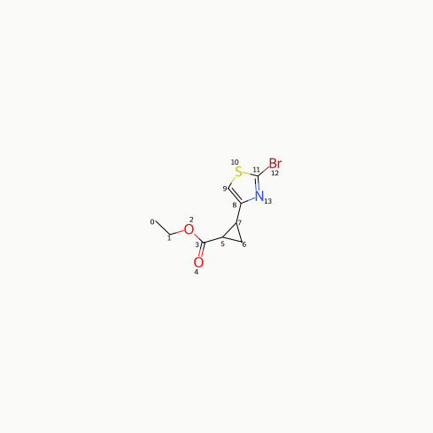 CCOC(=O)C1CC1c1csc(Br)n1